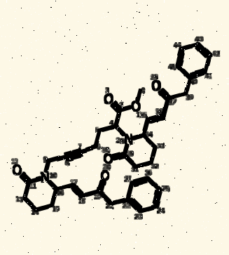 COC(=O)C(CCC#CCN1C(=O)CCCC1C=CC(=O)Cc1ccccc1)N1C(=O)CCCC1C=CC(=O)Cc1ccccc1